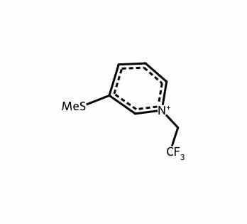 [CH2]Sc1ccc[n+](CC(F)(F)F)c1